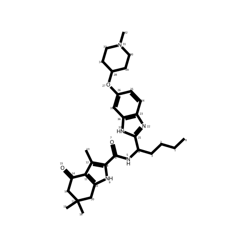 CCCCC(NC(=O)c1[nH]c2c(c1C)C(=O)CC(C)(C)C2)c1nc2ccc(OC3CCN(C)CC3)cc2[nH]1